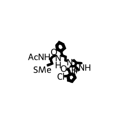 CSCC[C@H](NC(C)=O)C(=O)NC(CCN1CC2CNC[C@H]2[C@H]1C(=O)c1c(F)cccc1Cl)c1ccccc1